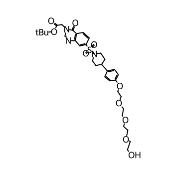 CC(C)(C)OC(=O)Cn1cnc2cc(S(=O)(=O)N3CCC(c4ccc(OCCOCCOCCOCCO)cc4)CC3)ccc2c1=O